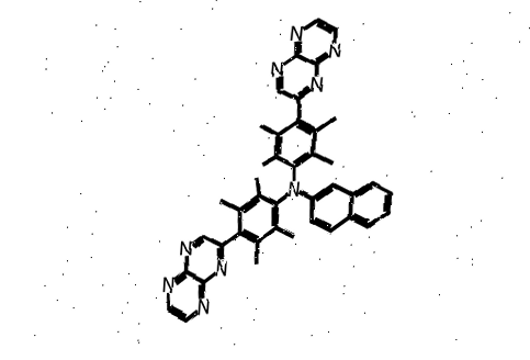 Cc1c(C)c(N(c2ccc3ccccc3c2)c2c(C)c(C)c(-c3cnc4nccnc4n3)c(C)c2C)c(C)c(C)c1-c1cnc2nccnc2n1